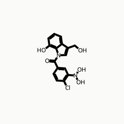 O=C(c1ccc(Cl)c(N(O)O)c1)n1cc(CO)c2cccc(O)c21